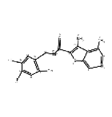 Cc1cncc2sc(C(=O)NCc3cc(F)c(F)cc3F)c(N)c12